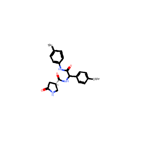 COc1ccc(C(NC(=O)[C@@H]2CNC(=O)C2)C(=O)Nc2ccc(C(C)(C)C)cc2)cc1